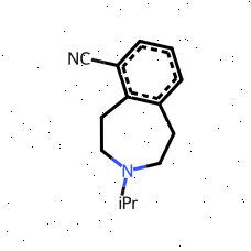 CC(C)N1CCc2cccc(C#N)c2CC1